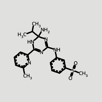 Cc1cccc(C2=NC(Nc3cccc(S(C)(=O)=O)c3)=NC(N)(C(C)C)N2)n1